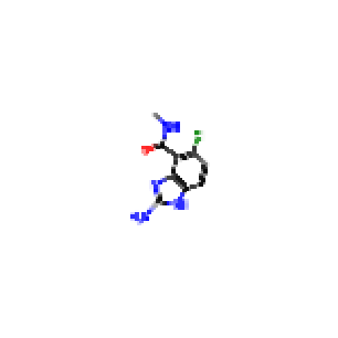 CNC(=O)c1c(Cl)ccc2[nH]c(N)nc12